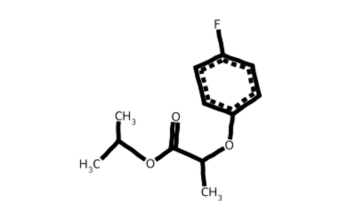 CC(C)OC(=O)C(C)Oc1ccc(F)cc1